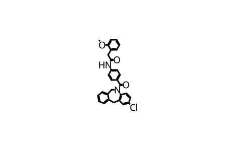 COc1ccccc1CC(=O)Nc1ccc(C(=O)N2Cc3ccccc3Cc3cc(Cl)ccc32)cc1